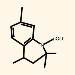 CCCCCCCCN1c2cc(C)ccc2C(C)CC1(C)C